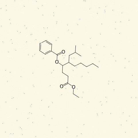 CCCCCC(CC(C)C)C(CCC(=O)OCC)OC(=O)c1ccccc1